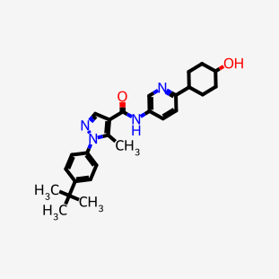 Cc1c(C(=O)Nc2ccc(C3CCC(O)CC3)nc2)cnn1-c1ccc(C(C)(C)C)cc1